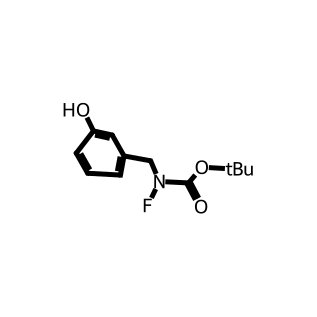 CC(C)(C)OC(=O)N(F)Cc1cccc(O)c1